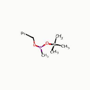 CC(C)COP(C)O[Si](C)(C)C